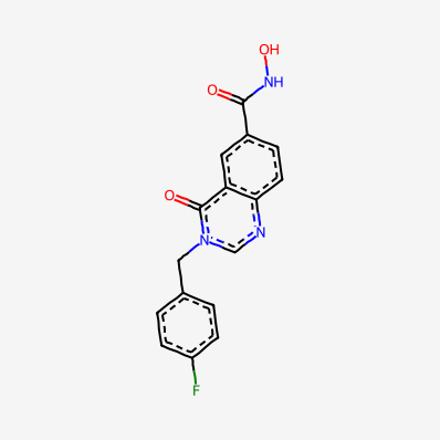 O=C(NO)c1ccc2ncn(Cc3ccc(F)cc3)c(=O)c2c1